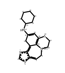 [O-][N+]12CC=c3scnc3=C3CC(NC4CCCCC4)=CC(=C31)SCC2